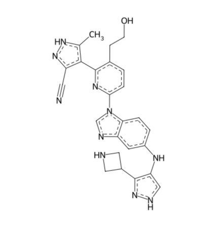 Cc1[nH]nc(C#N)c1-c1nc(-n2cnc3cc(Nc4c[nH]nc4C4CNC4)ccc32)ccc1CCO